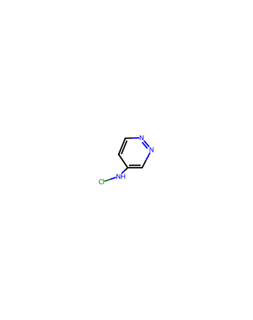 ClNc1ccnnc1